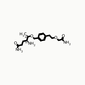 C[C@@H](OCc1ccc(CCOCC(N)=O)cc1)[C@@H](N)CCC(N)=O